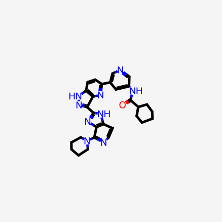 O=C(Nc1cncc(-c2ccc3[nH]nc(-c4nc5c(N6CCCCC6)nccc5[nH]4)c3n2)c1)C1CCCCC1